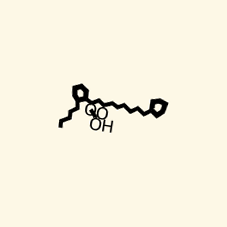 CCCCCc1ccccc1C(CCCCCCCCc1ccccc1)OC(=O)O